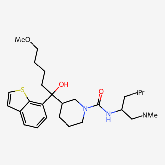 CNCC(CC(C)C)NC(=O)N1CCCC(C(O)(CCCCOC)c2cccc3ccsc23)C1